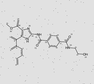 C=C/C=C\C(=C)C(=C)c1[nH]c(NC(=O)c2ccc(C(=O)NCCO)cc2)nc1C(=C)OC